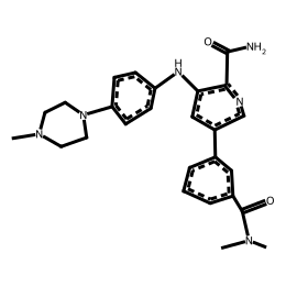 CN1CCN(c2ccc(Nc3cc(-c4cccc(C(=O)N(C)C)c4)cnc3C(N)=O)cc2)CC1